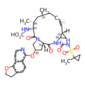 C[C@H]1CC/C=C\[C@@H]2C[C@@]2(C(=O)NS(=O)(=O)C2(C)CC2)NC(=O)[C@@H]2C[C@@H](Oc3nccc4c5c(ccc34)CCO5)CN2C(=O)[C@@H](NC(=O)O)[C@H](C)C1